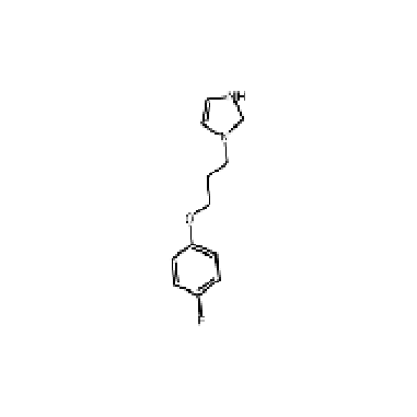 Fc1ccc(OCCCN2C=CNC2)cc1